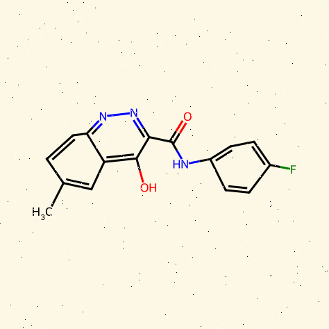 Cc1ccc2nnc(C(=O)Nc3ccc(F)cc3)c(O)c2c1